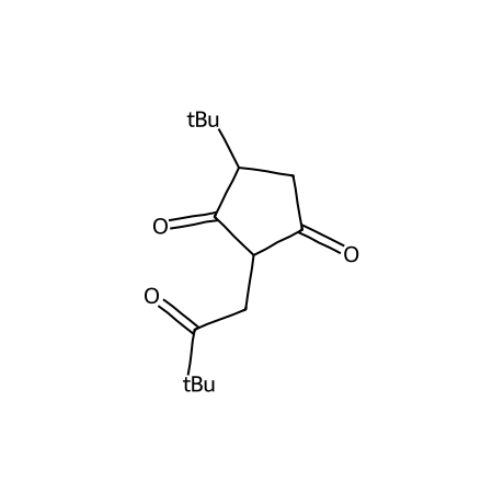 CC(C)(C)C(=O)CC1C(=O)CC(C(C)(C)C)C1=O